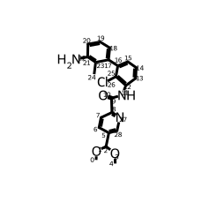 COC(OC)c1ccc(C(=O)Nc2cccc(-c3cccc(N)c3C)c2Cl)nc1